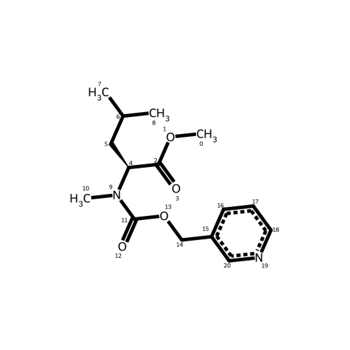 COC(=O)[C@H](CC(C)C)N(C)C(=O)OCc1cccnc1